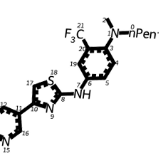 CCCCCN(C)c1ccc(Nc2nc(-c3cccnc3)cs2)cc1C(F)(F)F